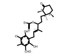 CCC(=O)OC(CC[C@]1(C)[C@H](C)CCC(=O)[C@@H]1C)/C(C)=C/Cc1c(O)c(Cl)c(C)c(C=O)c1O